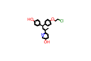 CC(=CC(c1ccc(O)cc1)c1ccc(OCCCl)cc1)c1ccc(O)cn1